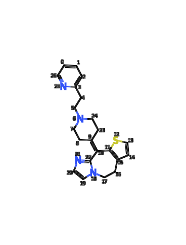 c1ccc(CCN2CCC(=C3c4sccc4CCn4ccnc43)CC2)nc1